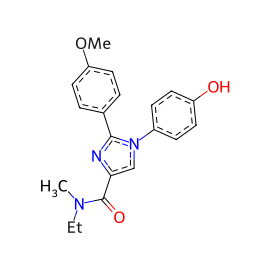 CCN(C)C(=O)c1cn(-c2ccc(O)cc2)c(-c2ccc(OC)cc2)n1